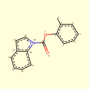 Cc1ccccc1OC(=O)n1ccc2ccccc21